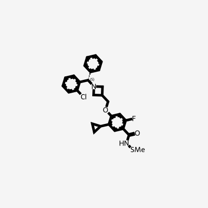 CSNC(=O)c1cc(C2CC2)c(OCC2CN([C@@H](c3ccccc3)c3ccccc3Cl)C2)cc1F